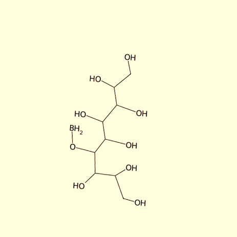 BOC(C(O)C(O)CO)C(O)C(O)C(O)C(O)CO